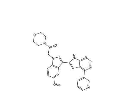 COc1ccc2c(c1)c(-c1cc3c(-c4cccnc4)ncnc3[nH]1)cn2CC(=O)N1CCOCC1